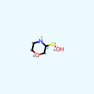 OSC1COCC[N]1